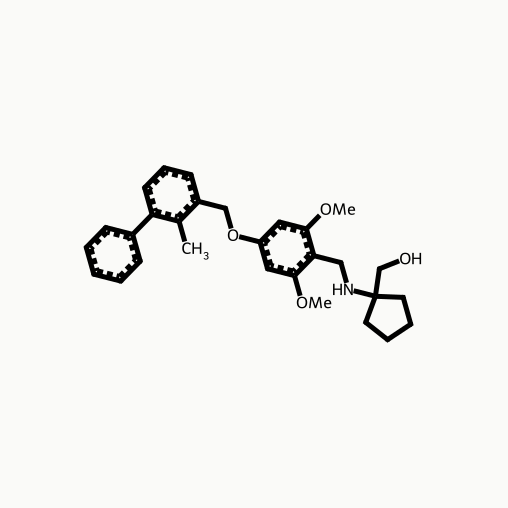 COc1cc(OCc2cccc(-c3ccccc3)c2C)cc(OC)c1CNC1(CO)CCCC1